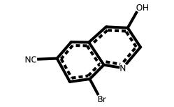 N#Cc1cc(Br)c2ncc(O)cc2c1